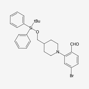 CC(C)(C)[Si](OCC1CCN(c2cc(Br)ccc2C=O)CC1)(c1ccccc1)c1ccccc1